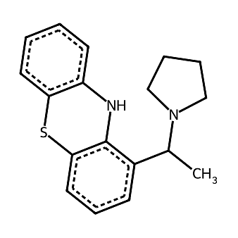 CC(c1cccc2c1Nc1ccccc1S2)N1CCCC1